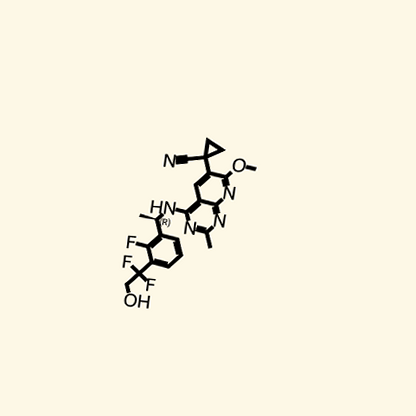 COc1nc2nc(C)nc(N[C@H](C)c3cccc(C(F)(F)CO)c3F)c2cc1C1(C#N)CC1